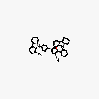 N#Cc1cc(-c2ccc(-n3c4ccccc4c4cccc(C#N)c43)cc2)ccc1-c1ccccc1-n1c2ccccc2c2ccccc21